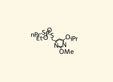 CCCSP(=O)(OCC)SCc1cc(OC(C)C)nc(OC)n1